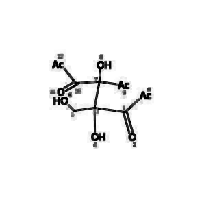 CC(=O)C(=O)C(O)(CO)C(O)(C(C)=O)C(=O)C(C)=O